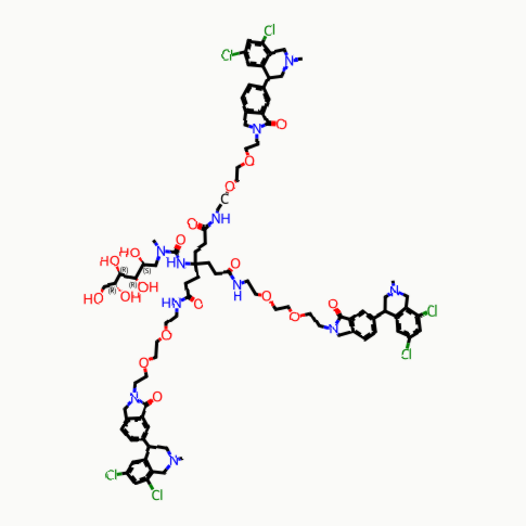 CN1Cc2c(Cl)cc(Cl)cc2C(c2ccc3c(c2)C(=O)N(CCOCCOCCNC(=O)CCC(CCC(=O)NCCOCCOCCN2Cc4ccc(C5CN(C)Cc6c(Cl)cc(Cl)cc65)cc4C2=O)(CCC(=O)NCCOCCOCCN2Cc4ccc(C5CN(C)Cc6c(Cl)cc(Cl)cc65)cc4C2=O)NC(=O)N(C)C[C@H](O)[C@@H](O)[C@H](O)[C@H](O)CO)C3)C1